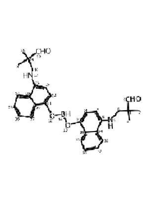 CC(C)(C=O)CNc1ccc(OBOc2ccc(NCC(C)(C)C=O)c3ccccc23)c2ccccc12